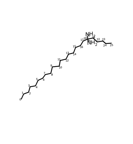 CCCCCCCCCCCCCCCCCCC(N)(N)CCCCC